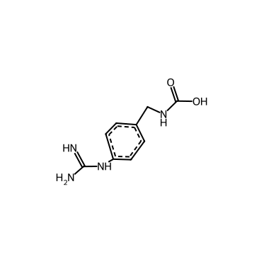 N=C(N)Nc1ccc(CNC(=O)O)cc1